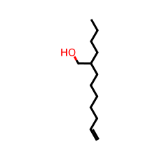 C=CCCCCCC(CO)CCCC